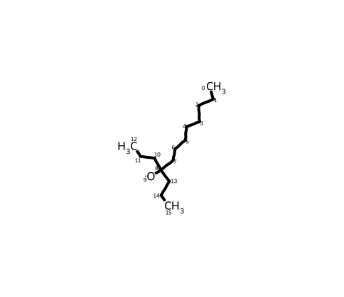 CCCCCCCCC([O])(CCC)CCC